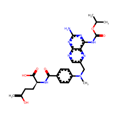 C=C(O)CC[C@H](NC(=O)c1ccc(N(C)Cc2cnc3nc(N)nc(NC(=O)OC(C)C)c3n2)cc1)C(=O)O